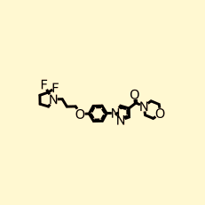 O=C(c1cnn(-c2ccc(OCCCN3CCCC3(F)F)cc2)c1)N1CCOCC1